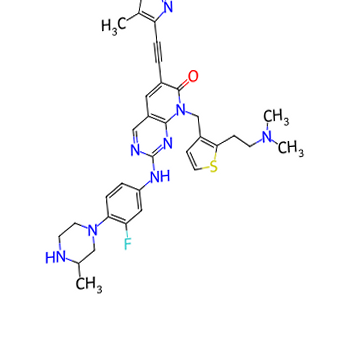 CC1=C(C#Cc2cc3cnc(Nc4ccc(N5CCNC(C)C5)c(F)c4)nc3n(Cc3ccsc3CCN(C)C)c2=O)N=CC1